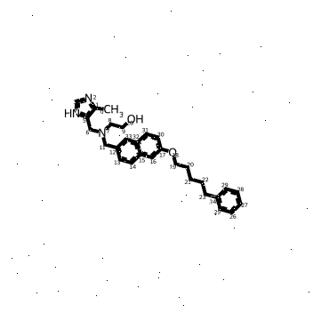 Cc1nc[nH]c1CN(CCO)Cc1ccc2cc(OCCCCCc3ccccc3)ccc2c1